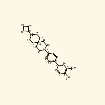 Fc1ccc(-c2ccc(N3CCC4(CC3)CCN(C3CCC3)CC4)nn2)cc1F